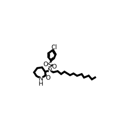 CCCCCCCCCCCCN(C1CCCCNC1=O)S(=O)(=O)c1ccc(Cl)cc1